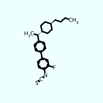 CCCC[C@H]1CC[C@H](C(C)c2ccc(-c3ccc(N=C=S)c(F)c3)cc2)CC1